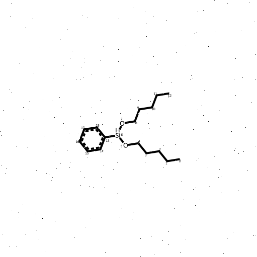 CCCCCO[SiH](OCCCCC)c1ccccc1